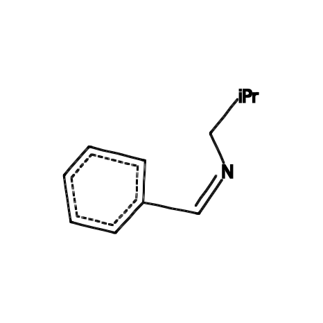 CC(C)C/N=C\c1ccccc1